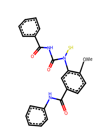 COc1ccc(C(=O)Nc2ccccc2)cc1N(S)C(=O)NC(=O)c1ccccc1